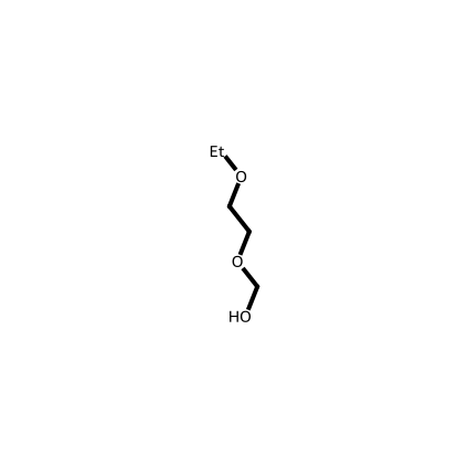 CCOCCOCO